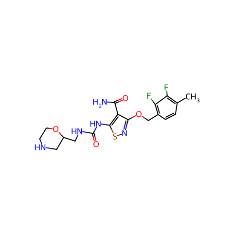 Cc1ccc(COc2nsc(NC(=O)NCC3CNCCO3)c2C(N)=O)c(F)c1F